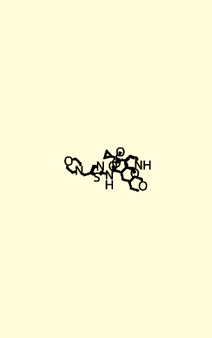 O=C(Nc1ncc(CN2CCOCC2)s1)C(CC1CCOCC1)c1c(S(=O)(=O)C2CC2)cc[nH]c1=O